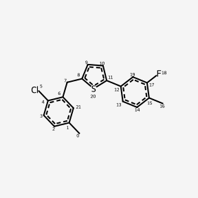 Cc1ccc(Cl)c(Cc2ccc(-c3ccc(C)c(F)c3)s2)c1